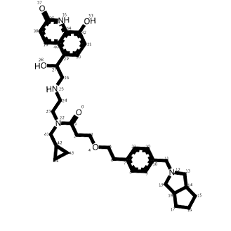 O=C(CCOCCc1ccc(CN2CC3CCCC3C2)cc1)N(CCNCC(O)c1ccc(O)c2[nH]c(=O)ccc12)CC1CC1